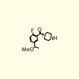 COC(C)c1ccc(F)c(C(=O)N2CCNCC2)c1